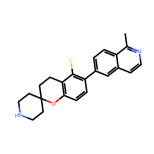 Cc1nccc2cc(-c3ccc4c(c3F)CCC3(CCNCC3)O4)ccc12